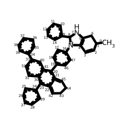 CC1C=CC2=C(C1)NC(c1ccccc1)N2c1ccc(-c2c3c(c(-c4ccccc4)c4ccc(-c5ccccc5)cc24)=CCCC=3)cc1